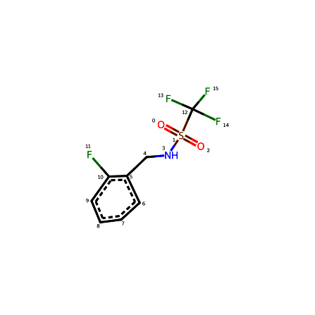 O=S(=O)(NCc1ccccc1F)C(F)(F)F